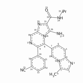 Cc1cnc2ccc(-c3c(-c4cccc(C#N)c4)ncc4nc(C(=O)NC(C)C)c(N)n34)cn12